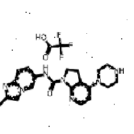 Cc1cn2cc(NC(=O)N3CCc4c(N5CCNCC5)ccnc43)ccc2n1.O=C(O)C(F)(F)F